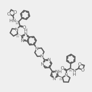 O=C([C@H](NC1OCO1)c1ccccc1)N1CCC[C@H]1c1ncc(-c2cnc(N3CCN(c4ccc5[nH]c([C@@H]6CCCN6C(=O)[C@H](NC6OCO6)c6ccccc6)nc5c4)CC3)nc2)[nH]1